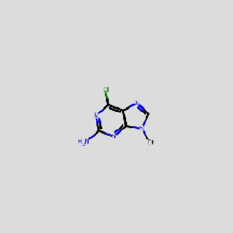 C[CH]n1cnc2c(Cl)nc(N)nc21